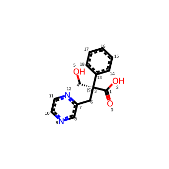 O=C(O)[C@@](CO)(Cc1cnccn1)c1ccccc1